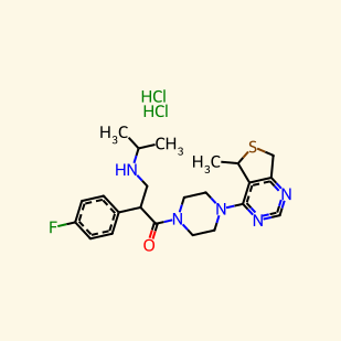 CC(C)NCC(C(=O)N1CCN(c2ncnc3c2C(C)SC3)CC1)c1ccc(F)cc1.Cl.Cl